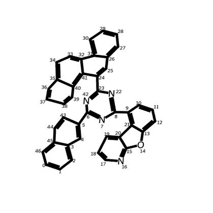 c1ccc2cc(-c3nc(-c4cccc5oc6ncccc6c45)nc(-c4cc5ccccc5c5ccc6ccccc6c45)n3)ccc2c1